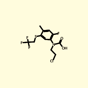 Cc1cc(F)c(N(CCCl)C(=O)O)cc1SCC(F)(F)F